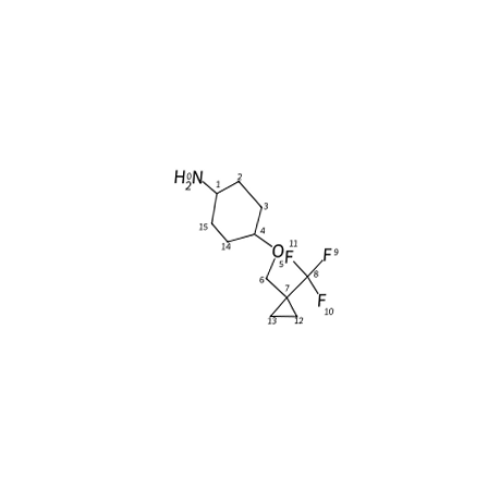 NC1CCC(OCC2(C(F)(F)F)CC2)CC1